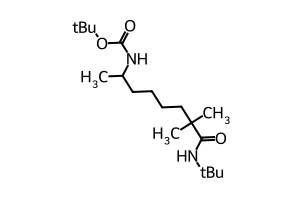 CC(CCCCC(C)(C)C(=O)NC(C)(C)C)NC(=O)OC(C)(C)C